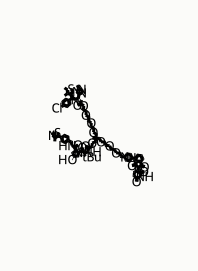 Cc1ncsc1-c1ccc(CNC(=O)[C@@H]2C[C@@H](O)CN2C(=O)[C@@H](NC(=O)COCC(C)(COCCOCCOCCOC(=O)C[C@@H]2N=C(c3ccc(Cl)cc3)c3c(sc(C)c3C)-n3c(C)nnc32)COCCOCCOCCN2CCN(c3cccc4c3C(=O)N(C3CCC(=O)NC3=O)C4=O)CC2)C(C)(C)C)cc1